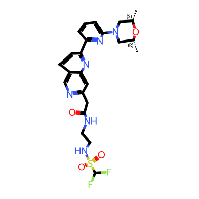 C[C@@H]1CN(c2cccc(-c3ccc4cnc(CC(=O)NCCNS(=O)(=O)C(F)F)cc4n3)n2)C[C@H](C)O1